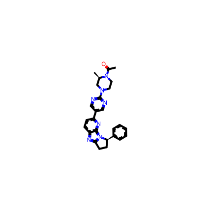 CC(=O)N1CCN(c2ncc(-c3ccc4nc5n(c4n3)[C@@H](c3ccccc3)CC5)cn2)C[C@H]1C